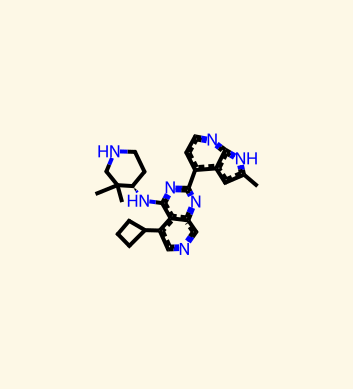 Cc1cc2c(-c3nc(N[C@H]4CCNCC4(C)C)c4c(C5CCC5)cncc4n3)ccnc2[nH]1